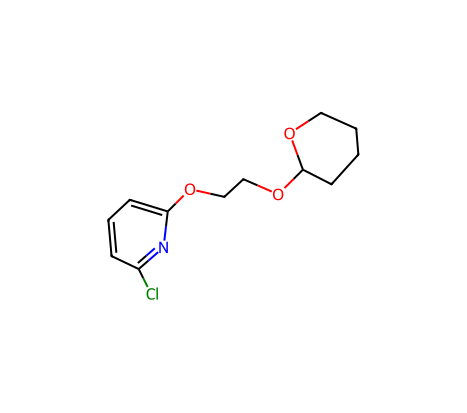 Clc1cccc(OCCOC2CCCCO2)n1